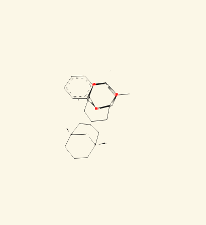 CC[C@@H]1C[C@@H]2C[C@H](C1)C[C@@H](N1[C@@H]3CCC[C@H]1C[C@@H](N1CC(C(=O)O)=Nc4ccccc41)C3)C2